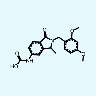 COc1ccc(CN2C(=O)c3ccc(NC(=O)O)cc3C2C)c(OC)c1